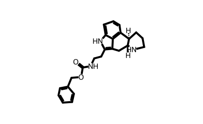 O=C(NCCc1[nH]c2cccc3c2c1C[C@H]1NCCC[C@H]31)OCc1ccccc1